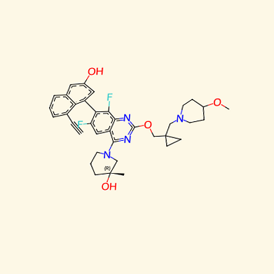 C#Cc1cccc2cc(O)cc(-c3c(F)cc4c(N5CCC[C@@](C)(O)C5)nc(OCC5(CN6CCC(OC)CC6)CC5)nc4c3F)c12